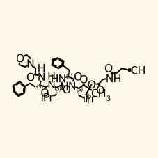 C#CCCC(=O)NCC(=O)OC(C)(CI)C(=O)[C@H](CC(C)C)NC(=O)[C@H](Cc1ccccc1)NC(=O)[C@H](CC(C)C)NC(=O)[C@H](CCc1ccccc1)NC(=O)CN1CCOCC1